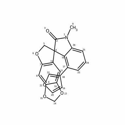 CN1C(=O)C2(COc3cc4c(cc32)OCO4)c2c(-c3ccoc3)cccc21